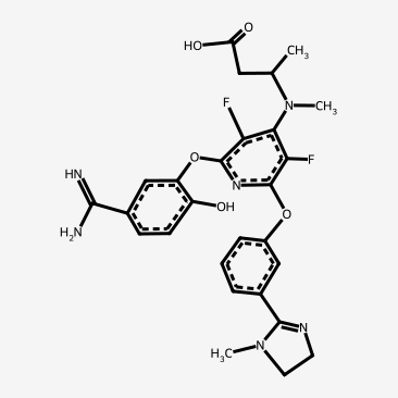 CC(CC(=O)O)N(C)c1c(F)c(Oc2cccc(C3=NCCN3C)c2)nc(Oc2cc(C(=N)N)ccc2O)c1F